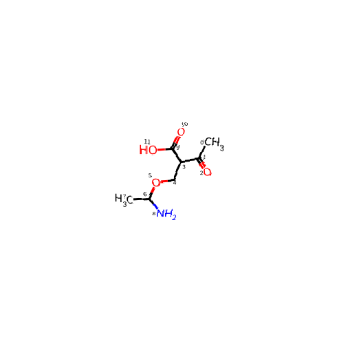 CC(=O)C(COC(C)N)C(=O)O